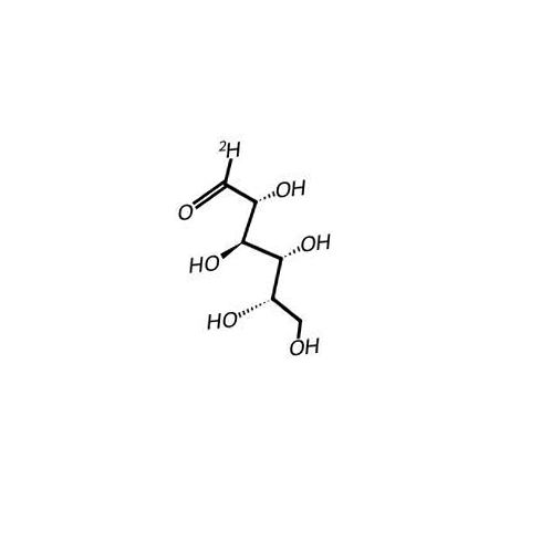 [2H]C(=O)[C@H](O)[C@H](O)[C@H](O)[C@@H](O)CO